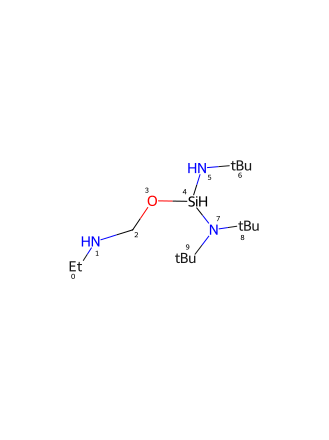 CCNCO[SiH](NC(C)(C)C)N(C(C)(C)C)C(C)(C)C